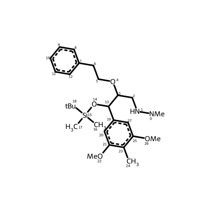 CNNCC(OCCc1ccccc1)C(O[Si](C)(C)C(C)(C)C)c1cc(OC)c(C)c(OC)c1